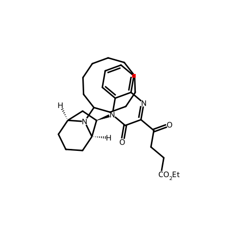 CCOC(=O)CCC(=O)c1nc2ccccc2n([C@@H]2C[C@@H]3CCC[C@H]2N3C2CCCCCCCCC2)c1=O